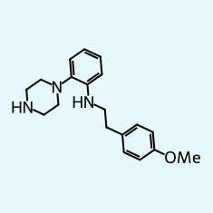 COc1ccc(CCNc2ccccc2N2CCNCC2)cc1